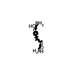 BCC(O)CO/C(C)=C/C=C(\C)C(C)(C)c1ccc(OCC(O)CB)cc1